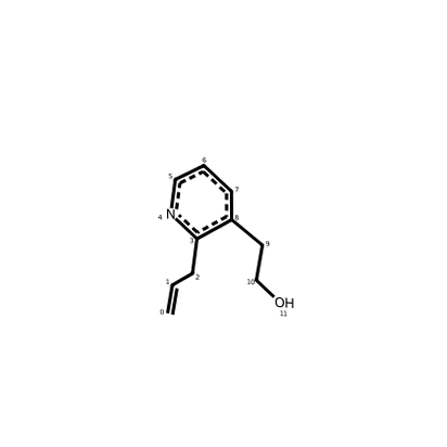 C=CCc1ncccc1CCO